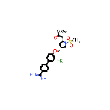 COC(=O)C[C@@H]1C[C@@H](COc2ccc(-c3ccc(C(=N)N)cc3)cc2)CN1S(C)(=O)=O.Cl